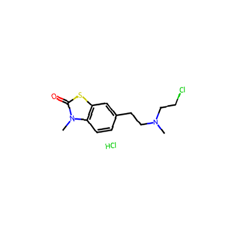 CN(CCCl)CCc1ccc2c(c1)sc(=O)n2C.Cl